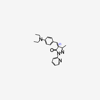 CCN(CC)c1ccc(/C=C2\C(=O)N(c3ccccn3)N=C2C)cc1